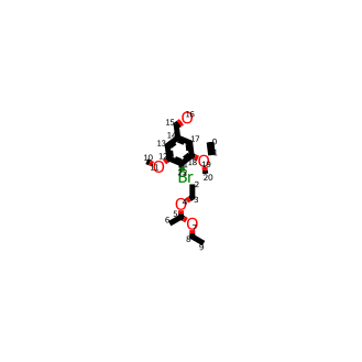 C=C.CCOC(C)OCC.COc1cc(C=O)cc(OC)c1Br